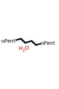 CCCCCCCCCCCCCC.O